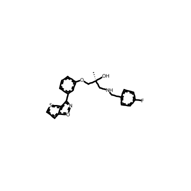 C[C@](O)(CNCc1ccc(F)cc1)COc1cccc(-c2noc3ccsc23)c1